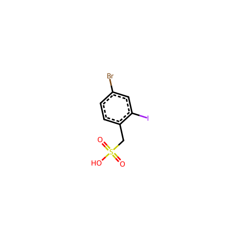 O=S(=O)(O)Cc1ccc(Br)cc1I